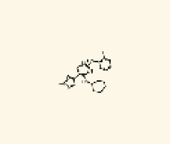 Cc1ccccc1Nc1ncc(-c2cnn(C)c2)c(NC2CCCCC2)n1